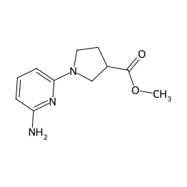 COC(=O)C1CCN(c2cccc(N)n2)C1